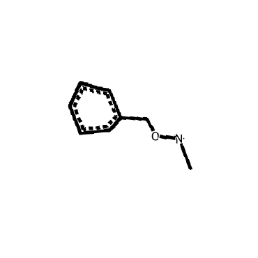 C[N]OCc1ccccc1